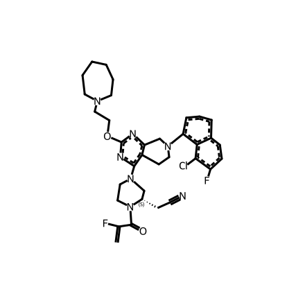 C=C(F)C(=O)N1CCN(c2nc(OCCN3CCCCCC3)nc3c2CCN(c2cccc4ccc(F)c(Cl)c24)C3)C[C@@H]1CC#N